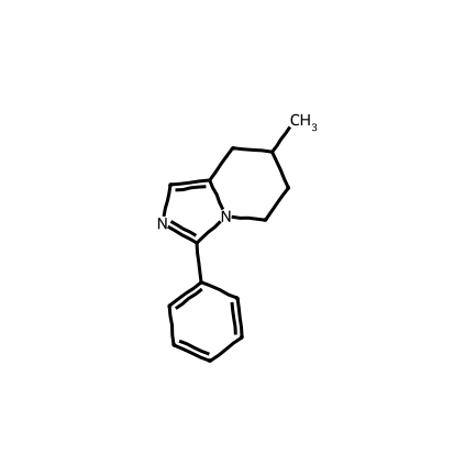 CC1CCn2c(cnc2-c2ccccc2)C1